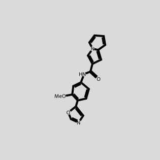 COc1cc(NC(=O)c2cc3ccccn3c2)ccc1-c1cnco1